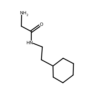 NCC(=O)NCCC1CCCCC1